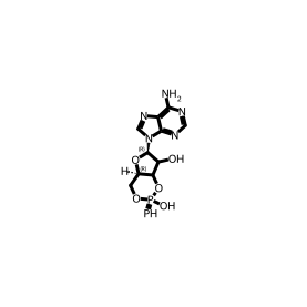 Nc1ncnc2c1ncn2[C@@H]1O[C@@H]2COP(O)(=P)OC2C1O